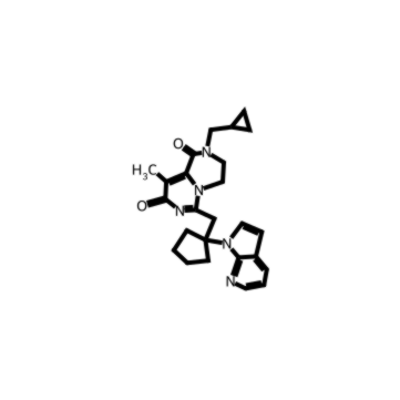 Cc1c2n(c(CC3(n4ccc5cccnc54)CCCC3)nc1=O)CCN(CC1CC1)C2=O